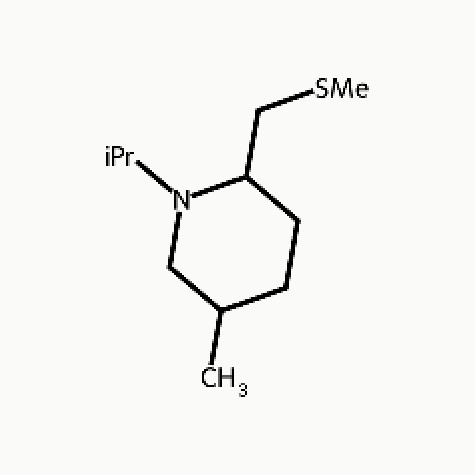 CSCC1CCC(C)CN1C(C)C